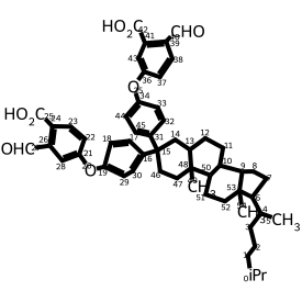 CC(C)CCCC(C)C1CCC2C3CCC4CC(c5ccc(Oc6ccc(C(=O)O)c(C=O)c6)cc5)(c5ccc(Oc6ccc(C=O)c(C(=O)O)c6)cc5)CCC4(C)C3CCC12C